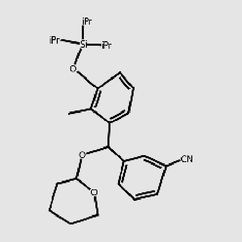 Cc1c(O[Si](C(C)C)(C(C)C)C(C)C)cccc1C(OC1CCCCO1)c1cccc(C#N)c1